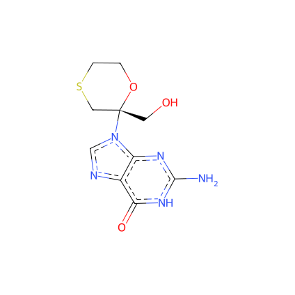 Nc1nc2c(ncn2[C@]2(CO)CSCCO2)c(=O)[nH]1